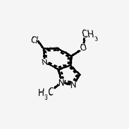 COc1cc(Cl)nc2c1cnn2C